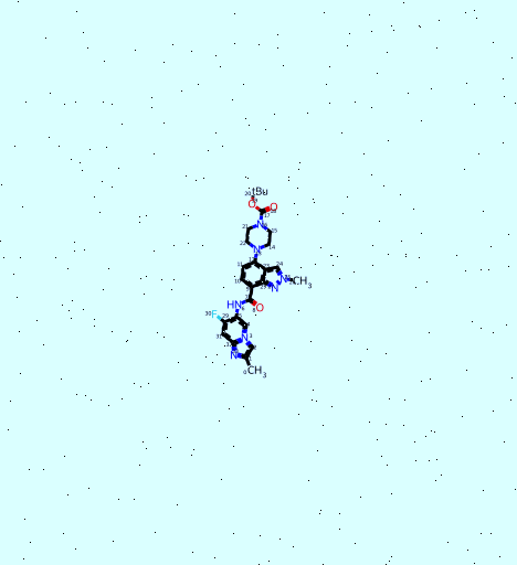 Cc1cn2cc(NC(=O)c3ccc(N4CCN(C(=O)OC(C)(C)C)CC4)c4cn(C)nc34)c(F)cc2n1